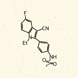 CCn1c(-c2ccc(NS(C)(=O)=O)cc2)c(C#N)c2cc(F)ccc21